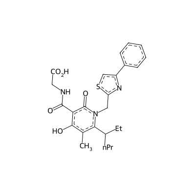 CCCC(CC)c1c(C)c(O)c(C(=O)NCC(=O)O)c(=O)n1Cc1nc(-c2ccccc2)cs1